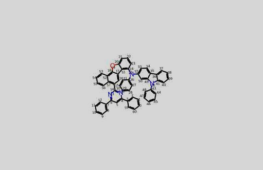 c1ccc(-c2cc(-c3ccccc3)nc(-c3cc4c(oc5cccc(N(c6ccccc6)c6ccc7c8ccccc8n(-c8ccccc8)c7c6)c54)c4ccccc34)n2)cc1